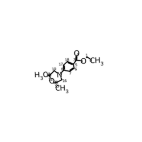 CCOC(=O)c1ccc(N2C[C@@H](C)O[C@@H](C)C2)cc1